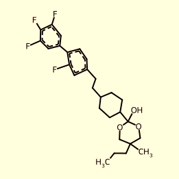 CCCC1(C)COC(O)(C2CCC(CCc3ccc(-c4cc(F)c(F)c(F)c4)c(F)c3)CC2)OC1